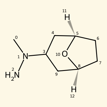 CN(N)C1C[C@H]2CC[C@@H](C1)O2